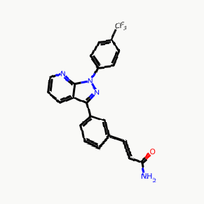 NC(=O)C=Cc1cccc(-c2nn(-c3ccc(C(F)(F)F)cc3)c3ncccc23)c1